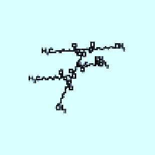 CCCCCCCCC(=O)OCC(COC(=O)CCCCCCCC)OC(=O)CCN(CCC(=O)OC(COC(=O)CCCCCCCC)COC(=O)CCCCCCCC)C(=O)SCCCN(C)C